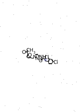 CC(=O)c1ccc(Cn2ccc(NC(=O)/C=C/c3ccc(Cl)cc3Cl)n2)o1